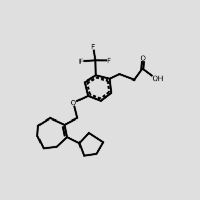 O=C(O)CCc1ccc(OCC2=C(C3CCCC3)CCCCC2)cc1C(F)(F)F